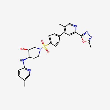 Cc1ccc(N[C@@H]2CCN(S(=O)(=O)c3ccc(-c4cc(-c5nnc(C)o5)ncc4C)cc3)C[C@@H]2O)nc1